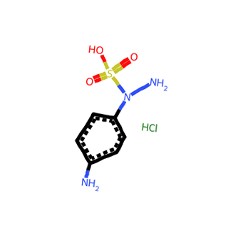 Cl.Nc1ccc(N(N)S(=O)(=O)O)cc1